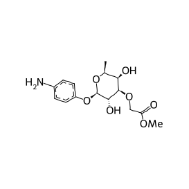 COC(=O)CO[C@H]1[C@H](O)[C@@H](Oc2ccc(N)cc2)O[C@@H](C)[C@H]1O